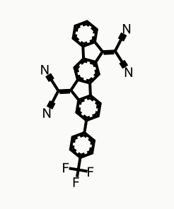 N#CC(C#N)=C1c2ccccc2-c2cc3c(cc21)-c1ccc(-c2ccc(C(F)(F)F)cc2)cc1C3=C(C#N)C#N